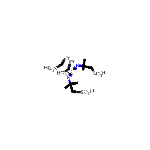 CC(C)(CS(=O)(=O)O)N=C=NC(C)(C)CS(=O)(=O)O.CC(C)CS(=O)(=O)O.CC(C)CS(=O)(=O)O